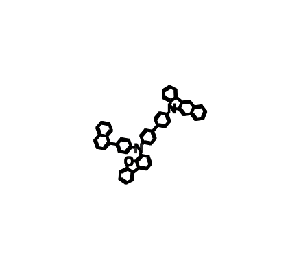 c1ccc2cc3c(cc2c1)c1ccccc1n3-c1ccc(-c2ccc(N(c3ccc(-c4cccc5ccccc45)cc3)c3cccc4c3oc3ccccc34)cc2)cc1